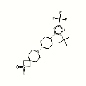 CC(C)(C)n1nc(C(F)(F)F)cc1[C@H]1CC[C@@H](N2CCC3(CC2)CS(=O)(=O)C3)CC1